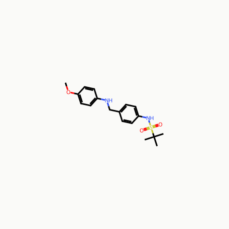 COc1ccc(NCc2ccc(NS(=O)(=O)C(C)(C)C)cc2)cc1